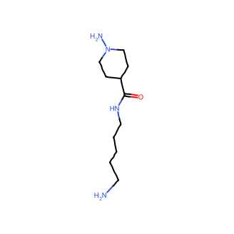 NCCCCCNC(=O)C1CCN(N)CC1